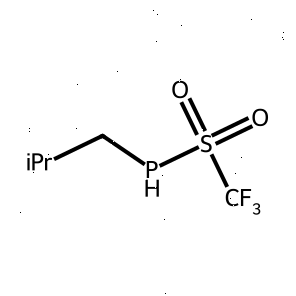 CC(C)CPS(=O)(=O)C(F)(F)F